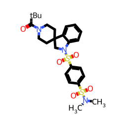 CN(C)S(=O)(=O)c1ccc(S(=O)(=O)N2CC3(CCN(C(=O)C(C)(C)C)CC3)c3ccccc32)cc1